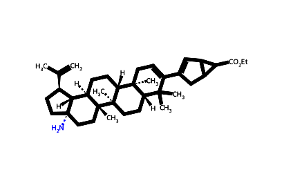 C=C(C)[C@@H]1CC[C@]2(N)CC[C@]3(C)[C@H](CC[C@@H]4[C@@]5(C)CC=C(C6=CC7C(C6)C7C(=O)OCC)C(C)(C)[C@@H]5CC[C@]43C)[C@@H]12